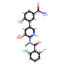 CN(C(=O)c1c(F)cccc1Cl)c1ncc(-c2cc(C(N)=O)ccc2Cl)cc1O